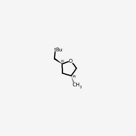 C[C@H]1CO[C@H](CC(C)(C)C)C1